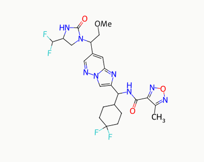 COCC(c1cnn2cc(C(NC(=O)c3nonc3C)C3CCC(F)(F)CC3)nc2c1)N1CC(C(F)F)NC1=O